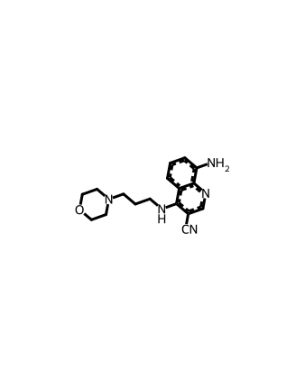 N#Cc1cnc2c(N)cccc2c1NCCCN1CCOCC1